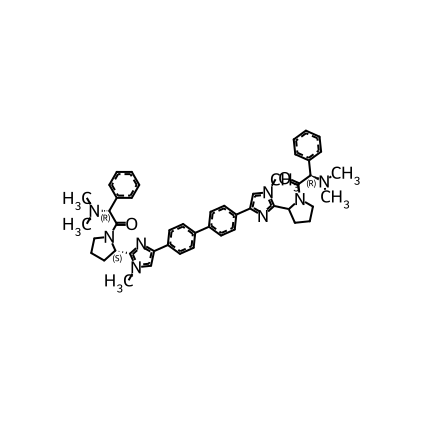 CN(C)[C@@H](C(=O)N1CCCC1c1nc(-c2ccc(-c3ccc(-c4cn(C)c([C@@H]5CCCN5C(=O)[C@@H](c5ccccc5)N(C)C)n4)cc3)cc2)cn1C)c1ccccc1